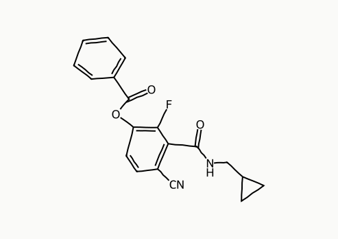 N#Cc1ccc(OC(=O)c2ccccc2)c(F)c1C(=O)NCC1CC1